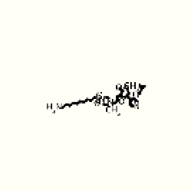 C[C@@H]1CN(S(=O)(=O)CCCCCCCCCCN)CCN1Cc1cc2c(=O)n(C)cc(-c3ccncc3OCC3CC3)c2o1